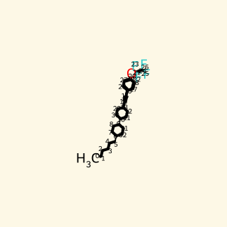 CCCCCC[C@H]1CC[C@H](C2CCC(C#Cc3ccc(OC(F)(F)C(F)F)cc3)CC2)CC1